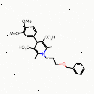 COc1ccc(C2C(C(=O)O)=C(C)N(CCCOCc3ccccc3)C(C)=C2C(=O)O)cc1OC